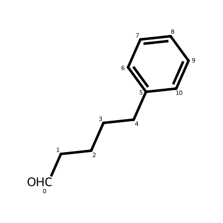 O=CCCCCc1ccccc1